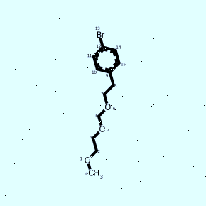 COCCOCOCCc1ccc(Br)cc1